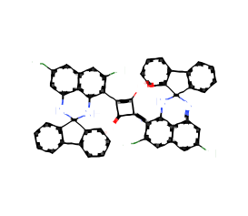 O=C1C(c2c(Cl)cc3cc(Cl)cc4c3c2NC2(N4)c3ccccc3-c3ccccc32)=C(O)/C1=c1/c(Cl)cc2cc(Cl)cc3c2c1NC1(N=3)c2ccccc2-c2ccccc21